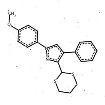 COc1ccc(-n2cc(-c3ccccc3)c(C3SCCCS3)n2)cc1